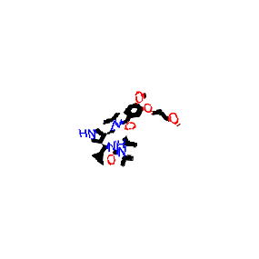 COCCCOc1cc(C(=O)N(C[C@@H]2CNC[C@H]2C(NC(=O)N(C(C)C)C(C)C)C2CC2)C(C)C)ccc1OC